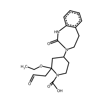 CCOC1(CC=O)CC(N2CCc3ccccc3NC2=O)CCN1C(=O)O